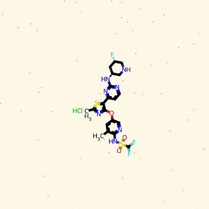 Cc1nc(Oc2cnc(NS(=O)(=O)C(F)F)c(C)c2)c(-c2ccnc(N[C@@H]3CNC[C@@H](F)C3)n2)s1.Cl